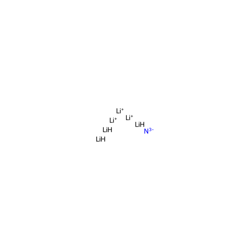 [Li+].[Li+].[Li+].[LiH].[LiH].[LiH].[N-3]